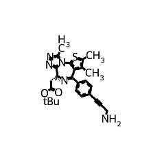 Cc1sc2c(c1C)C(c1ccc(C#CCN)cc1)=N[C@H](CC(=O)OC(C)(C)C)c1nnc(C)n1-2